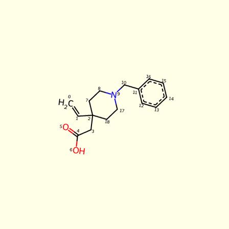 C=CC1(CC(=O)O)CCN(Cc2ccccc2)CC1